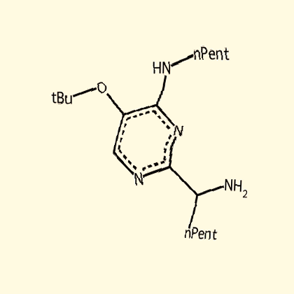 CCCCCNc1nc(C(N)CCCCC)ncc1OC(C)(C)C